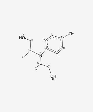 CC(CO)N(c1ccc(Cl)cc1)C(C)CO